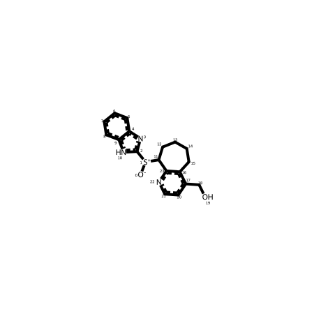 [O-][S+](c1nc2ccccc2[nH]1)C1CCCCc2c(CO)ccnc21